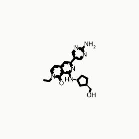 CCn1ccc2cc(-c3cnc(N)nc3)nc(N[C@H]3CC[C@@H](CO)C3)c2c1=O